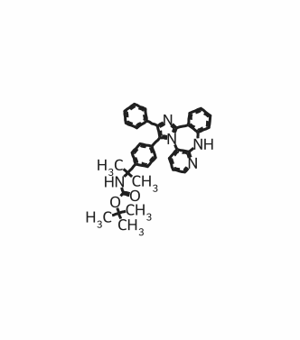 CC(C)(C)OC(=O)NC(C)(C)c1ccc(-c2c(-c3ccccc3)nc3n2-c2cccnc2Nc2ccccc2-3)cc1